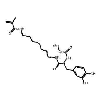 C=C(C)C(=O)NCCCOCCCNC(=O)C(Cc1ccc(O)c(O)c1)NC(=O)OC(C)(C)C